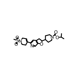 CC(C)OC(=O)N1CCC(C2Cc3cc(C4=CCN(S(C)(=O)=O)CC4)ncc3O2)CC1